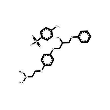 C[S+](C)CCOc1ccc(OCC(O)COc2ccccc2)cc1.Cc1ccc(S(=O)(=O)[O-])cc1